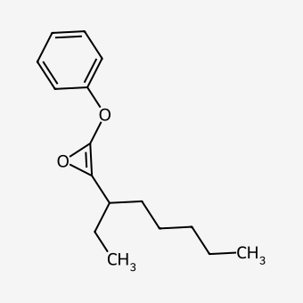 CCCCCC(CC)C1=C(Oc2ccccc2)O1